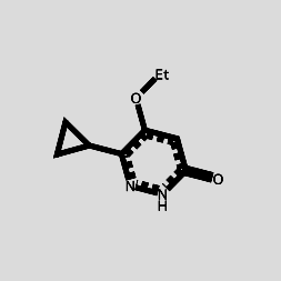 CCOc1cc(=O)[nH]nc1C1CC1